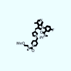 COCCN(C)C(=O)N1CCC(CN2CC[C@@H](Cc3cn(-c4ccc(F)cc4C(=O)N(C)C(C)C)c4cncc(C)c34)C2)CC1